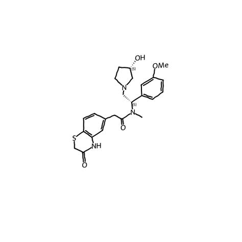 COc1cccc([C@@H](CN2CC[C@H](O)C2)N(C)C(=O)Cc2ccc3c(c2)NC(=O)CS3)c1